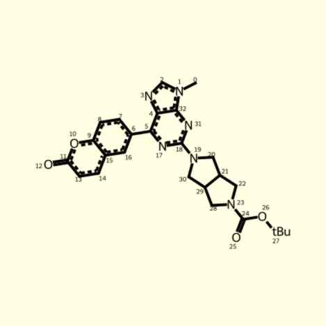 Cn1cnc2c(-c3ccc4oc(=O)ccc4c3)nc(N3CC4CN(C(=O)OC(C)(C)C)CC4C3)nc21